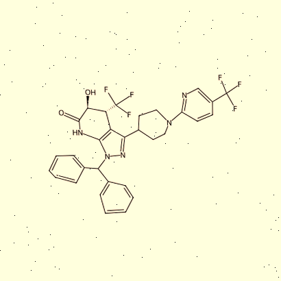 O=C1Nc2c(c(C3CCN(c4ccc(C(F)(F)F)cn4)CC3)nn2C(c2ccccc2)c2ccccc2)[C@@H](C(F)(F)F)[C@@H]1O